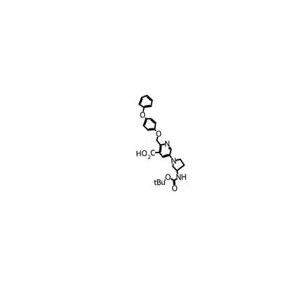 CC(C)(C)OC(=O)NC1CCN(c2cnc(COc3ccc(Oc4ccccc4)cc3)c(C(=O)O)c2)C1